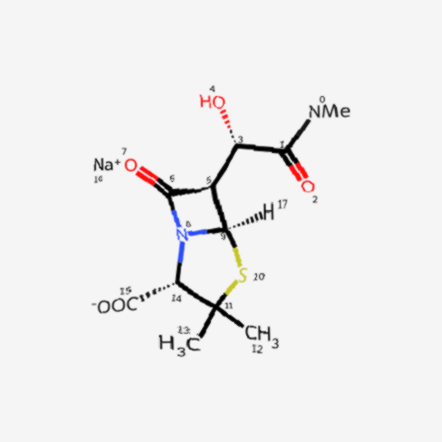 CNC(=O)[C@@H](O)[C@@H]1C(=O)N2[C@@H]1SC(C)(C)[C@@H]2C(=O)[O-].[Na+]